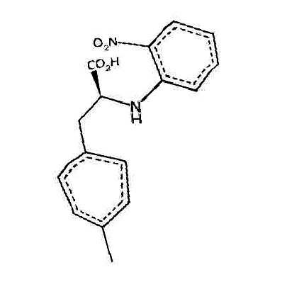 Cc1ccc(C[C@H](Nc2ccccc2[N+](=O)[O-])C(=O)O)cc1